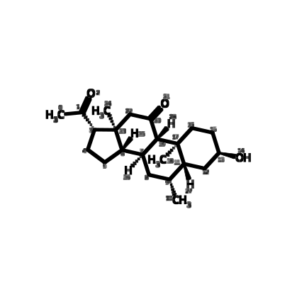 CC(=O)[C@H]1CC[C@H]2[C@@H]3C[C@@H](C)[C@H]4C[C@H](O)CC[C@]4(C)[C@H]3C(=O)C[C@]12C